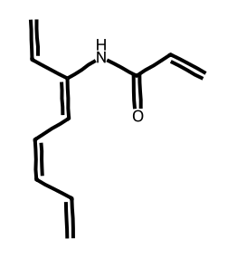 C=C/C=C\C=C(/C=C)NC(=O)C=C